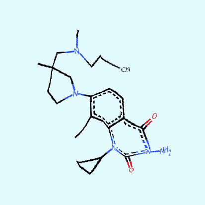 Cc1c(N2CCC(C)(CN(C)CCC#N)C2)ccc2c(=O)n(N)c(=O)n(C3CC3)c12